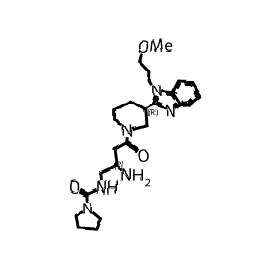 COCCCn1c([C@@H]2CCCN(C(=O)C[C@@H](N)CNC(=O)N3CCCC3)C2)nc2ccccc21